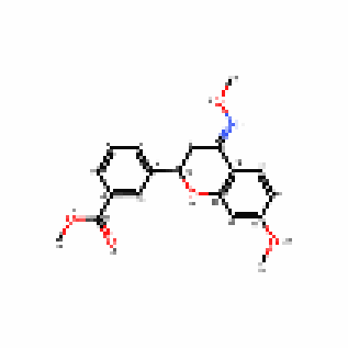 CON=C1C[C@H](c2cccc(C(=O)OC)c2)Oc2cc(OC)ccc21